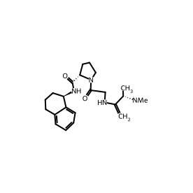 C=C(NCC(=O)N1CCC[C@H]1C(=O)N[C@@H]1CCCc2ccccc21)[C@H](C)NC